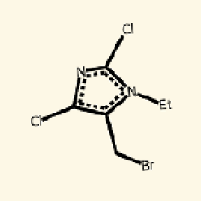 CCn1c(Cl)nc(Cl)c1CBr